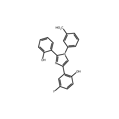 O=C(O)c1cccc(-n2cc(-c3cc(F)ccc3O)nc2-c2ccccc2O)c1